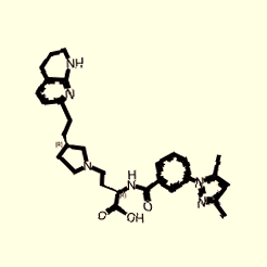 Cc1cc(C)n(-c2cccc(C(=O)N[C@H](CCN3CC[C@@H](CCc4ccc5c(n4)NCCC5)C3)C(=O)O)c2)n1